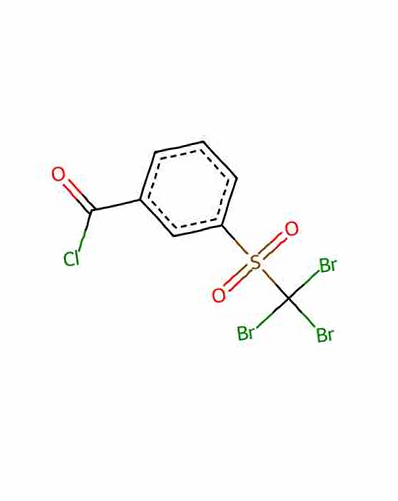 O=C(Cl)c1cccc(S(=O)(=O)C(Br)(Br)Br)c1